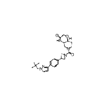 CC(C)(C)Cn1ccc(-c2ccc(C3CN(C(=O)N4CC[C@@H]5OCC(=O)NC5C4)C3)cc2)n1